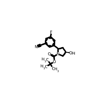 CC(C)(C)OC(=O)N1C[C@H](O)CC1c1cc(F)cc(C#N)c1